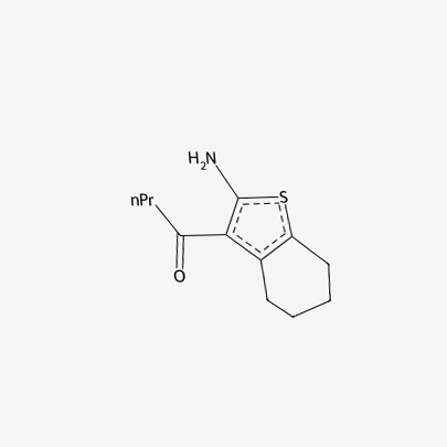 CCCC(=O)c1c(N)sc2c1CCCC2